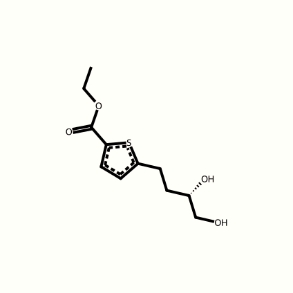 CCOC(=O)c1ccc(CC[C@H](O)CO)s1